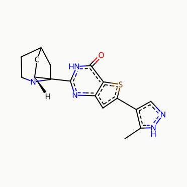 Cc1[nH]ncc1-c1cc2nc([C@H]3CC4CCN3CC4)[nH]c(=O)c2s1